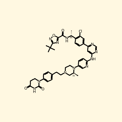 C[C@@H](NC(=O)c1nc(C(C)(C)C)no1)c1ccc(-c2cc(Nc3ccc(N4CCN(CCc5ccc(N6CCC(=O)NC6=O)cc5)C[C@@H]4C)cn3)ncn2)cc1Cl